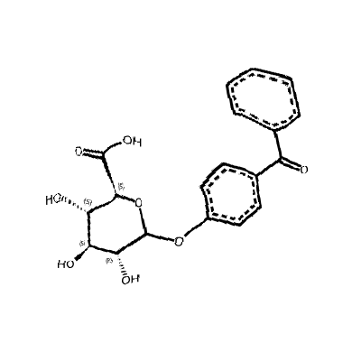 O=C(c1ccccc1)c1ccc(OC2O[C@H](C(=O)O)[C@@H](O)[C@H](O)[C@H]2O)cc1